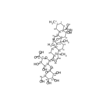 C[C@@H]1CC[C@]2(C(=O)O)C(O)CC3(C)C(=CCC4C5(C)CC[C@H](O[C@@H]6OC(C(=O)O)[C@@H](O)C(O)C6O[C@@H]6OC(CO)[C@H](O)C(O)C6O)C(C)(C=O)C5CCC43C)C2C1